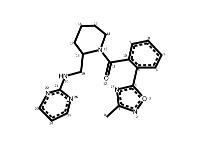 Cc1noc(-c2ccccc2C(=O)N2CCCCC2CNc2ncccn2)n1